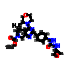 CC1COCCN1c1nc(-c2ccc(NC(=O)NC3COC3)cc2)nc2c1CCN(C(=O)OC(C)(C)C)C2